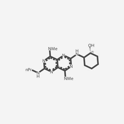 CCCNc1nc(NC)c2nc(NC3CCCC[C@H]3O)nc(NC)c2n1